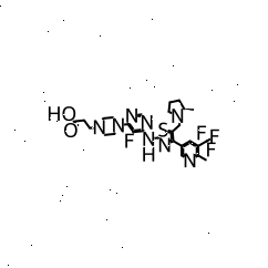 Cc1ncc(-c2nc(Nc3ncnc(N4CCN(CCC(=O)O)CC4)c3F)sc2CN2CCC[C@H]2C)cc1C(F)(F)F